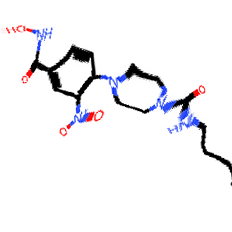 CCCCNC(=O)N1CCN(c2ccc(C(=O)NO)cc2[N+](=O)[O-])CC1